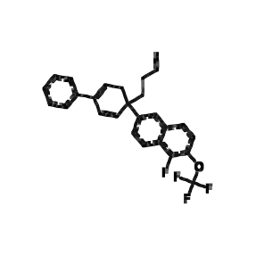 C=CCCC1(c2ccc3c(F)c(OC(F)(F)F)ccc3c2)C=CC(c2ccccc2)=CC1